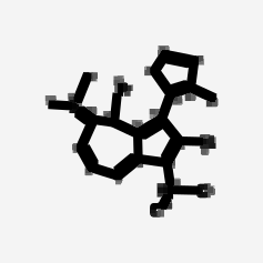 CCC1=[C]([Hf]([Cl])[Cl])C2=CC=CC(=[Si](C)C)C(C(C)C)C2=C1C1=C(C)C=CC1